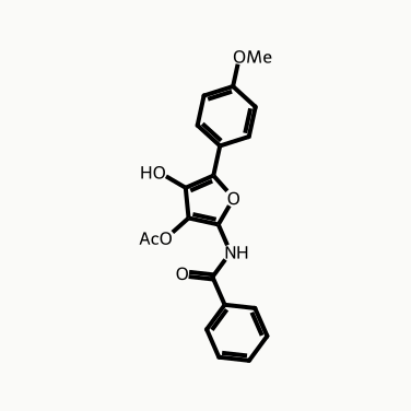 COc1ccc(-c2oc(NC(=O)c3ccccc3)c(OC(C)=O)c2O)cc1